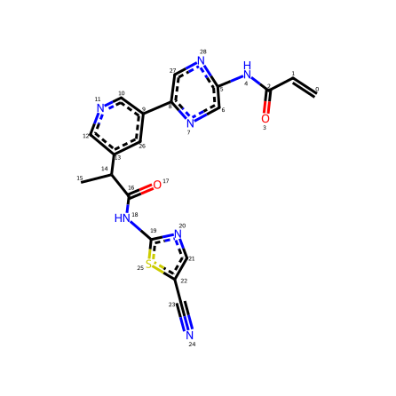 C=CC(=O)Nc1cnc(-c2cncc(C(C)C(=O)Nc3ncc(C#N)s3)c2)cn1